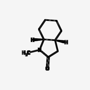 CN1C(=O)C[C@H]2CCCC[C@H]21